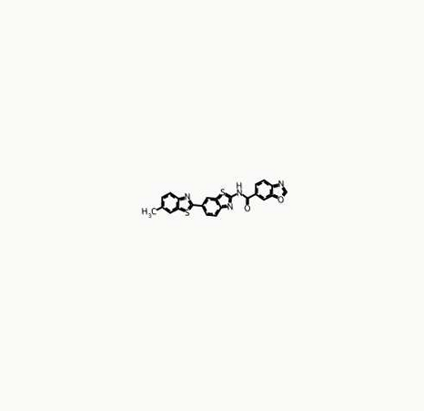 Cc1ccc2nc(-c3ccc4nc(NC(=O)c5ccc6ncoc6c5)sc4c3)sc2c1